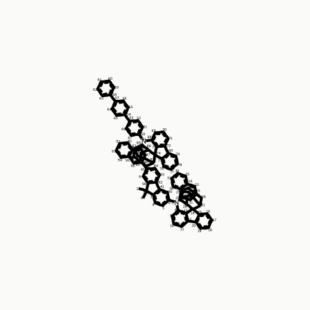 CC1(C)c2ccc(N(c3cccc4c3C3(c5ccccc5-4)C4CC5CC(C4)CC3C5)c3cccc4ccccc34)cc2-c2ccc(-c3cc(N(c4ccc(-c5ccc(-c6ccccc6)cc5)cc4)c4cccc5c4C4(c6ccccc6-5)C5CC6CC(C5)CC4C6)c4ccccc4c3)cc21